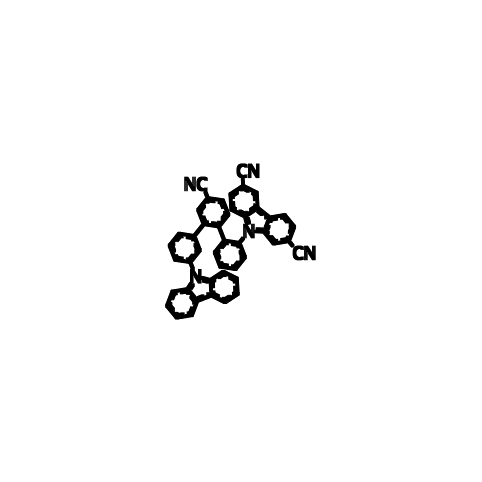 N#Cc1ccc(-c2ccccc2-n2c3ccc(C#N)cc3c3ccc(C#N)cc32)c(-c2cccc(-n3c4ccccc4c4ccccc43)c2)c1